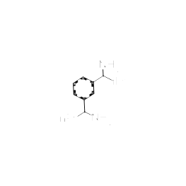 CCCC(N)c1cccc(C(N)C(C)C)c1